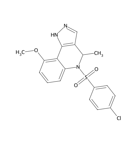 COc1cccc2c1-c1[nH]ncc1C(C)N2S(=O)(=O)c1ccc(Cl)cc1